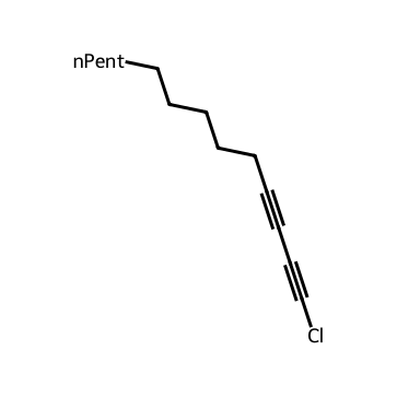 CCCCCCCCCCC#CC#CCl